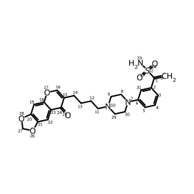 C=C(c1cccc(N2CCN(CCCCc3coc4cc5c(cc4c3=O)OCO5)CC2)c1)S(N)(=O)=O